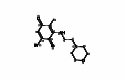 CC1=C(NCCN2CCOCC2)C(=O)C(C(C)C)=CC1=O